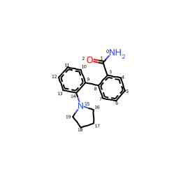 NC(=O)c1ccccc1-c1ccccc1N1CCCC1